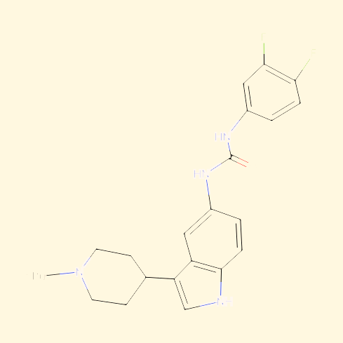 CCCCN1CCC(c2c[nH]c3ccc(NC(=O)Nc4ccc(F)c(F)c4)cc23)CC1